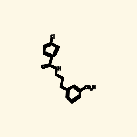 O=C(O)c1cccc(CCCNC(=O)c2ccc(Cl)cc2)c1